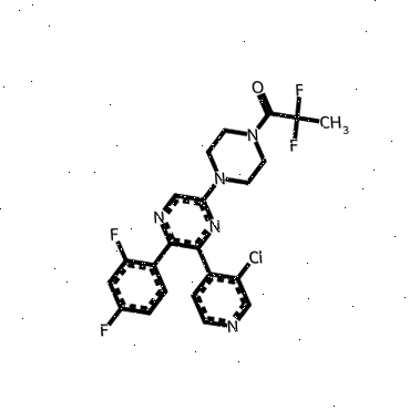 CC(F)(F)C(=O)N1CCN(c2cnc(-c3ccc(F)cc3F)c(-c3ccncc3Cl)n2)CC1